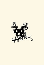 CCCCc1nc2c(N)nc3cc(CC(=O)OC)ccc3c2n1Cc1ccc(CN(C)C)cc1